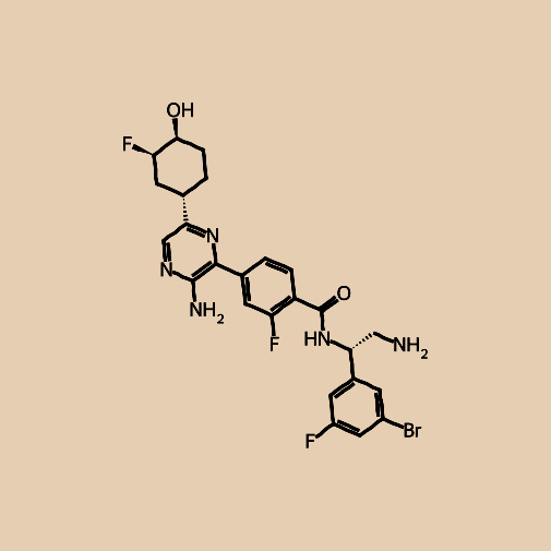 NC[C@@H](NC(=O)c1ccc(-c2nc([C@H]3CC[C@H](O)[C@H](F)C3)cnc2N)cc1F)c1cc(F)cc(Br)c1